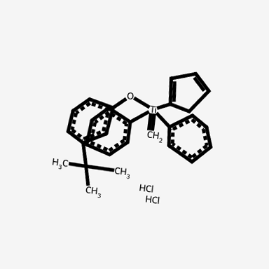 Cl.Cl.[CH2]=[Ti]([O]c1cccc(C(C)(C)C)c1)([C]1=CC=CC1)([c]1ccccc1)[c]1ccccc1